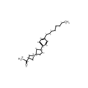 CCCCCCCCc1ccc(C2CCC(N3CC(C(C)=O)C3)C2)cc1